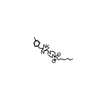 CCCCCCS(=O)(=O)N1CCN(c2nc(Cc3ccc(C)cc3)ns2)CC1